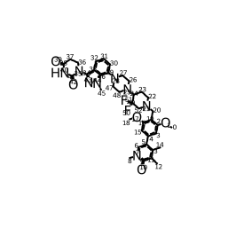 COc1cc(-c2cn(C)c(=O)c(C)c2C)cc(OC)c1CN1CCC(N2CCN(c3cccc4c(N5CCC(=O)NC5=O)nn(C)c34)CC2)C(F)(F)C1